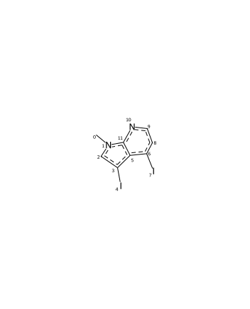 Cn1cc(I)c2c(I)ccnc21